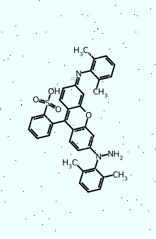 Cc1cccc(C)c1/N=c1/ccc2c(-c3ccccc3S(=O)(=O)O)c3ccc(N(N)c4c(C)cccc4C)cc3oc-2c1